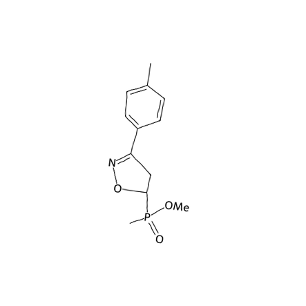 COP(C)(=O)C1CC(c2ccc(C)cc2)=NO1